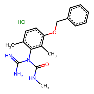 CNC(=O)N(C(=N)N)c1c(C)ccc(OCc2ccccc2)c1C.Cl